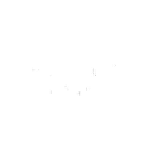 COc1cccc(C(C)NC2CCCCC2=O)c1N(C)C